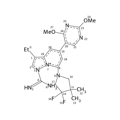 CCc1cn(C(=N)N)[n+]2c(N3CC(C)(C)C(F)(F)C3)cc(-c3cnc(OC)nc3OC)cc12